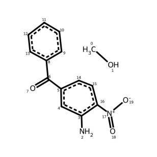 CO.Nc1cc(C(=O)c2ccccc2)ccc1[N+](=O)[O-]